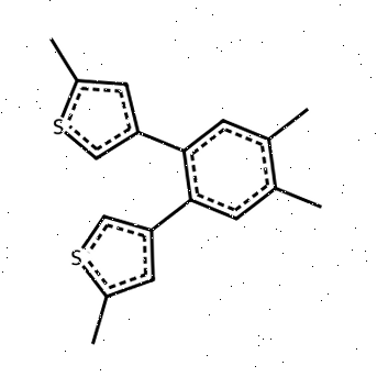 Cc1cc(-c2cc(C)c(C)cc2-c2csc(C)c2)cs1